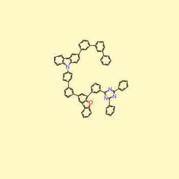 c1ccc(-c2cccc(-c3cccc(-c4ccc5c(c4)c4ccccc4n5-c4ccc(-c5cccc(-c6cc(-c7cccc(-c8nc(-c9ccccc9)nc(-c9ccccc9)n8)c7)c7oc8ccccc8c7c6)c5)cc4)c3)c2)cc1